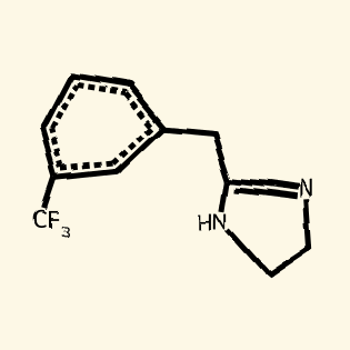 FC(F)(F)c1cccc(CC2=NCCN2)c1